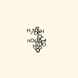 CCCCCCCCN1CC(C(=O)N[C@H]2CC[C@H]2N)CC(C)C1C(NC(=O)C1Cc2cccc(C)c2N1)C1CC1